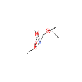 CCCCCCCCOC(CCCCCN(CCCCO)CCCCCCOC(=O)C(CCCCCC)CCCCCCCC)O[Si](C)(C)OCC(CCCCCC)CCCCCCCC